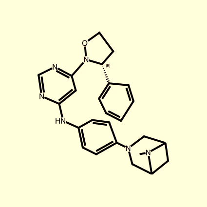 CN1C2CC1CN(c1ccc(Nc3cc(N4OCC[C@@H]4c4ccccc4)ncn3)cc1)C2